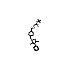 Cc1c(-c2ccccc2)c(I)nn1CC1CCC(COCC(=O)OC(C)(C)C)CC1